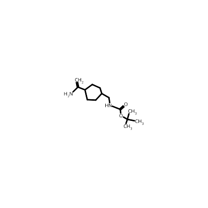 C=C(N)C1CCC(CNC(=O)OC(C)(C)C)CC1